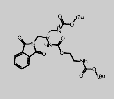 CC(C)(C)OC(=O)NCCOC(=O)N[C@@H](CNC(=O)OC(C)(C)C)CN1C(=O)c2ccccc2C1=O